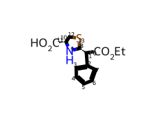 CCOC(=O)C(c1ccccc1)[C@@H]1N[C@H](C(=O)O)CS1